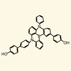 Oc1ccc(-c2ccc(N3c4ccccc4B4c5cc(-c6ccc(O)cc6)ccc5N(c5ccccc5)c5cccc3c54)cc2)cc1